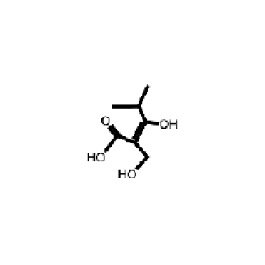 CC(C)C(O)=C(CO)C(=O)O